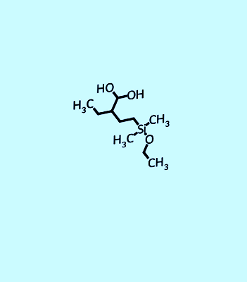 CCO[Si](C)(C)CCC(CC)C(O)O